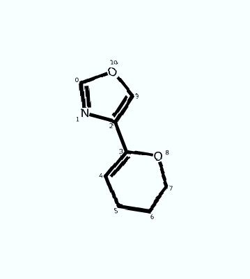 [c]1nc(C2=CCCCO2)co1